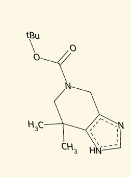 CC(C)(C)OC(=O)N1Cc2nc[nH]c2C(C)(C)C1